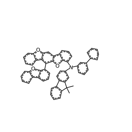 CC1(C)c2ccccc2-c2ccc(N(c3cccc(-c4ccccc4)c3)c3cccc4c3oc3c(-c5cccc6c5oc5ccccc56)c5c(cc34)oc3ccccc35)cc21